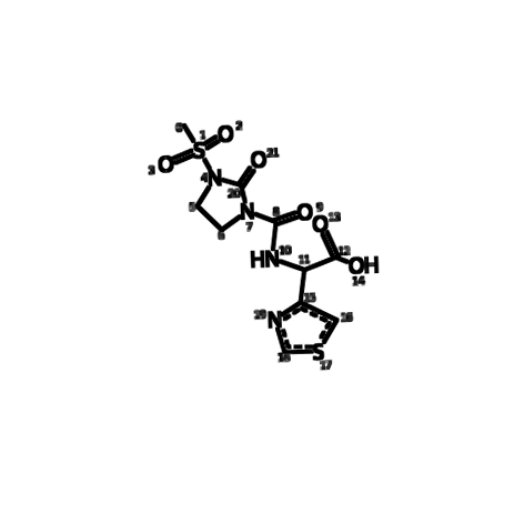 CS(=O)(=O)N1CCN(C(=O)NC(C(=O)O)c2cscn2)C1=O